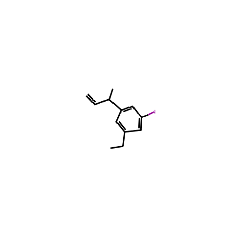 C=C[C](C)c1cc(I)cc(CC)c1